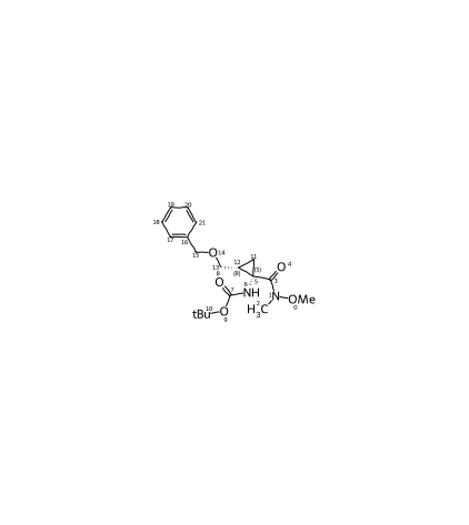 CON(C)C(=O)[C@]1(NC(=O)OC(C)(C)C)C[C@H]1COCc1ccccc1